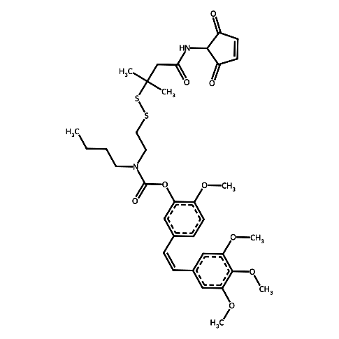 CCCCN(CCSSC(C)(C)CC(=O)NC1C(=O)C=CC1=O)C(=O)Oc1cc(/C=C\c2cc(OC)c(OC)c(OC)c2)ccc1OC